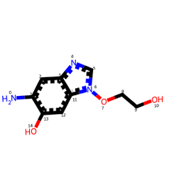 Nc1cc2ncn(OCCO)c2cc1O